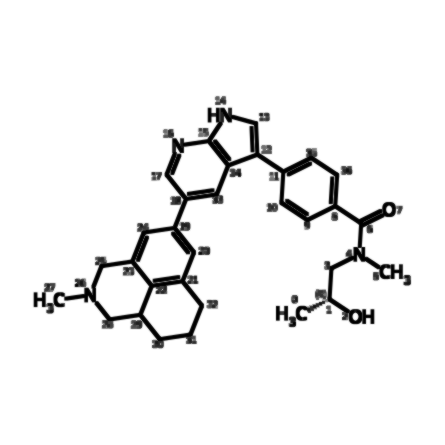 C[C@@H](O)CN(C)C(=O)c1ccc(-c2c[nH]c3ncc(-c4cc5c6c(c4)CN(C)CC6CCC5)cc23)cc1